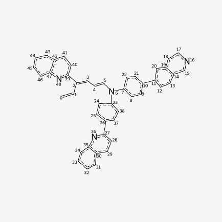 C=C/C(=C\C=C\N(c1ccc(-c2ccc3cnccc3c2)cc1)c1ccc(-c2ccc3ccccc3n2)cc1)c1ccc2ccccc2n1